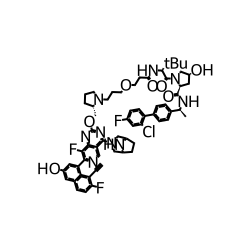 C#Cc1c(F)ccc2cc(O)cc(-c3ncc4c(N5CC6CCC(C5)N6)nc(OC[C@@H]5CCCN5CCCOCCC(=O)N[C@H](C(=O)N5C[C@H](O)C[C@H]5C(=O)N[C@@H](C)c5ccc(-c6ccc(F)cc6Cl)cc5)C(C)(C)C)nc4c3F)c12